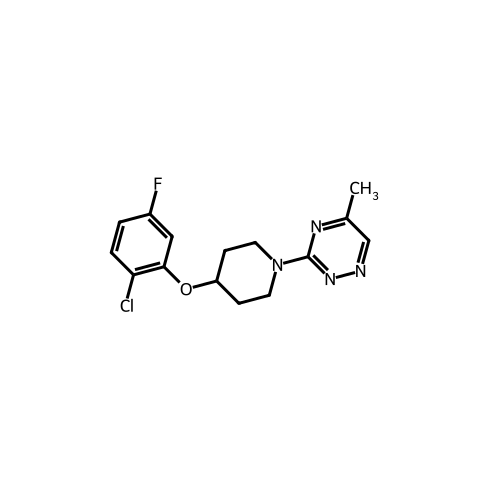 Cc1cnnc(N2CCC(Oc3cc(F)ccc3Cl)CC2)n1